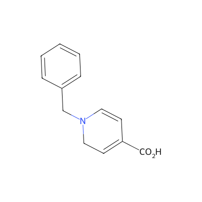 O=C(O)C1=CCN(Cc2ccccc2)C=C1